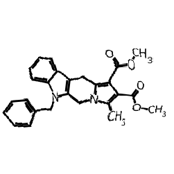 COC(=O)c1c(C(=O)OC)c2n(c1C)Cc1c(c3ccccc3n1Cc1ccccc1)C2